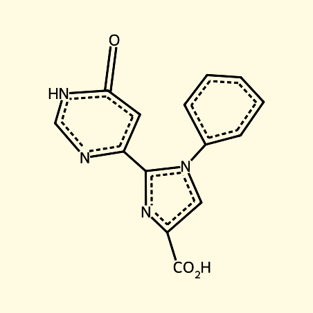 O=C(O)c1cn(-c2ccccc2)c(-c2cc(=O)[nH]cn2)n1